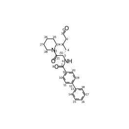 O=CCCC[C@H](NC(=O)c1ccc(-c2ccccc2)cc1)C(=O)N1CCCCC1